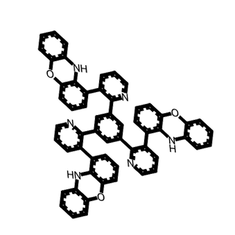 c1ccc2c(c1)Nc1c(cccc1-c1cccnc1-c1cc(-c3ncccc3-c3cccc4c3Nc3ccccc3O4)cc(-c3ncccc3-c3cccc4c3Nc3ccccc3O4)c1)O2